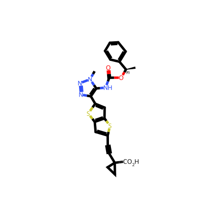 C[C@@H](OC(=O)Nc1c(-c2cc3sc(C#CC4(C(=O)O)CC4)cc3s2)nnn1C)c1ccccc1